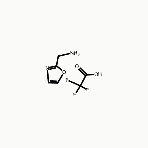 NCc1ncco1.O=C(O)C(F)(F)F